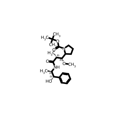 CO[C@@H](C1CCCN1C(=O)OC(C)(C)C)[C@@H](C)C(=O)N[C@H](C)[C@@H](O)c1ccccc1